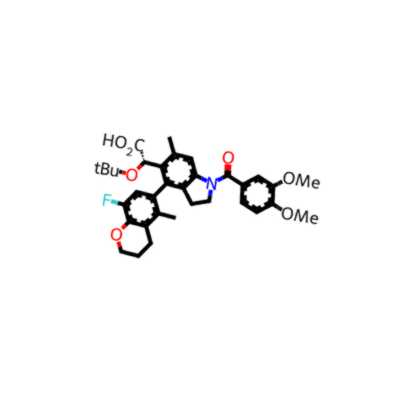 COc1ccc(C(=O)N2CCc3c2cc(C)c([C@H](OC(C)(C)C)C(=O)O)c3-c2cc(F)c3c(c2C)CCCO3)cc1OC